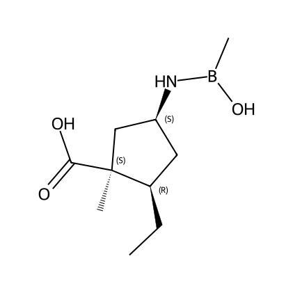 CC[C@@H]1C[C@H](NB(C)O)C[C@]1(C)C(=O)O